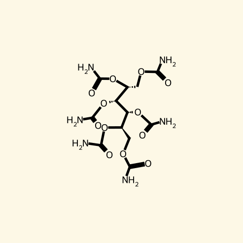 NC(=O)OC[C@@H](OC(N)=O)[C@@H](OC(N)=O)[C@H](OC(N)=O)[C@@H](COC(N)=O)OC(N)=O